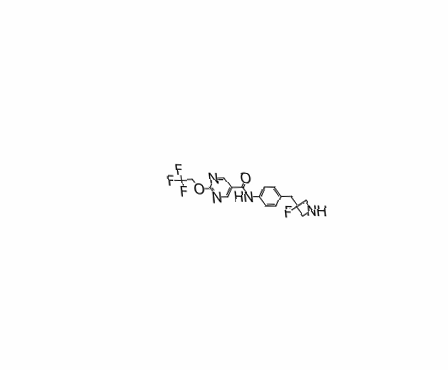 O=C(Nc1ccc(CC2(F)CNC2)cc1)c1cnc(OCC(F)(F)F)nc1